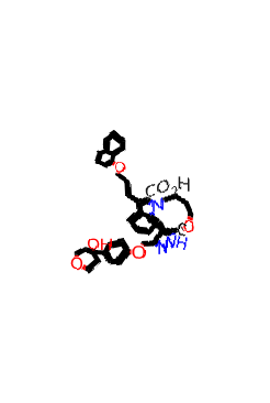 O=C(O)c1c(CCCOc2cccc3ccccc23)c2cccc3c2n1CCCCOCc1[nH]nc(COc2ccc(C4(O)CCOCC4)cc2)c1-3